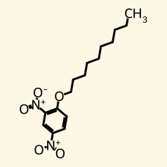 CCCCCCCCCCOc1ccc([N+](=O)[O-])cc1[N+](=O)[O-]